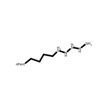 CCCCCCCCC[SiH2]N[SiH2]N[SiH3]